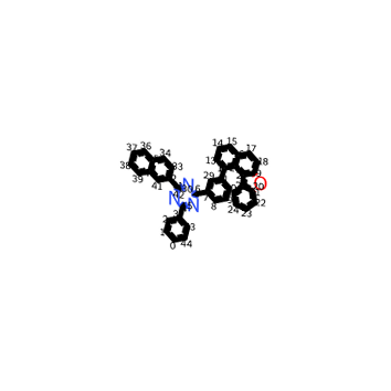 c1ccc(-c2nc(-c3cccc(-c4cccc5ccc6oc7ccccc7c6c45)c3)nc(-c3ccc4ccccc4c3)n2)cc1